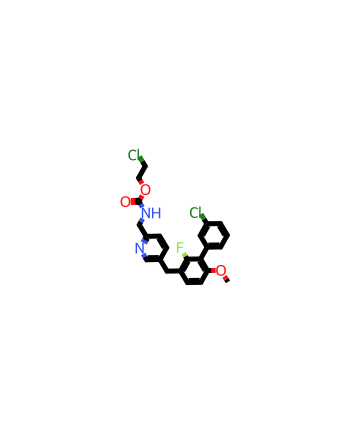 COc1ccc(Cc2ccc(CNC(=O)OCCCl)nc2)c(F)c1-c1cccc(Cl)c1